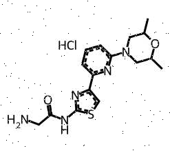 CC1CN(c2cccc(-c3csc(NC(=O)CN)n3)n2)CC(C)O1.Cl